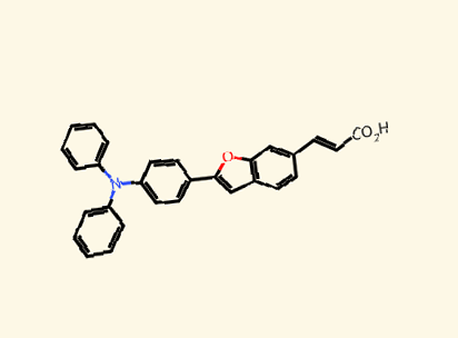 O=C(O)/C=C/c1ccc2cc(-c3ccc(N(c4ccccc4)c4ccccc4)cc3)oc2c1